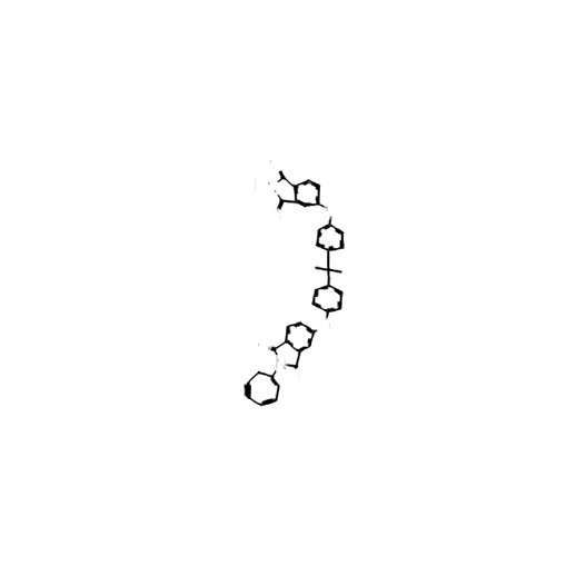 CC(C)(c1ccc(Oc2ccc3c(c2)C(=O)NC3=O)cc1)c1ccc(Oc2ccc3c(c2)C(=O)N(C2=CC=CC#CC2)C3=O)cc1